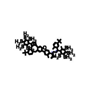 Bc1c(B)c(B)c(-c2ccc3c(C)c2-c2cc(C(C)(C)C)ccc2Cc2cc4c(cc2-3)oc2cc(/C(=C/C=C(\c3cc(C(C)(C)C)ccc3C)c3c(B)c(B)c(B)c(B)c3C)C(=C)C)c(C)cc24)c(B)c1B